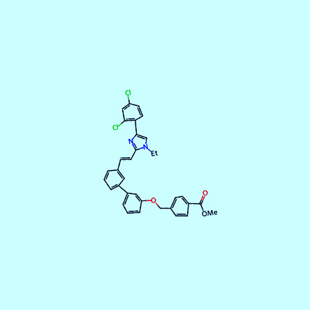 CCn1cc(-c2ccc(Cl)cc2Cl)nc1C=Cc1cccc(-c2cccc(OCc3ccc(C(=O)OC)cc3)c2)c1